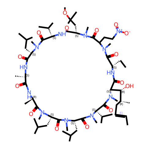 C/C=C/C[C@@H](C)[C@@H](O)[C@H]1C(=O)N[C@@H](CC)C(=O)N(C)C(CC[N+](=O)[O-])C(=O)N(C)[C@@H](CC(C)(C)OC)C(=O)N[C@@H](C(C)C)C(=O)N(C)[C@@H](CC(C)C)C(=O)N[C@@H](C)C(=O)N[C@H](C)C(=O)N(C)[C@@H](CC(C)C)C(=O)N(C)[C@@H](CC(C)C)C(=O)N(C)[C@@H](C(C)C)C(=O)N1C